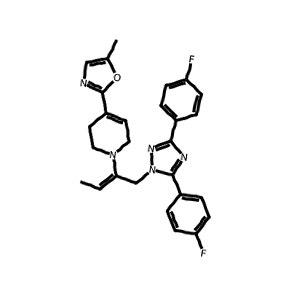 CC=C(Cn1nc(-c2ccc(F)cc2)nc1-c1ccc(F)cc1)N1CC=C(c2ncc(C)o2)CC1